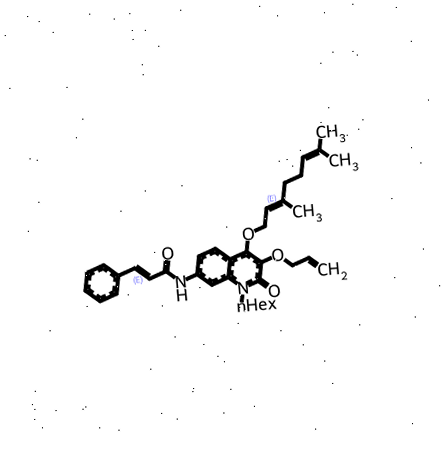 C=CCOc1c(OC/C=C(\C)CCC=C(C)C)c2ccc(NC(=O)/C=C/c3ccccc3)cc2n(CCCCCC)c1=O